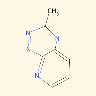 Cc1nnc2ncccc2n1